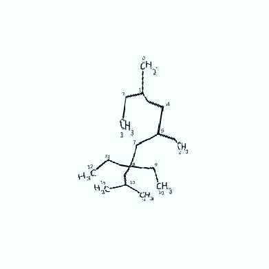 [CH2]C(CC)CC(C)CC(CC)(CC)C(C)C